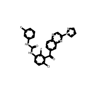 O=C(Nc1cccc(F)c1)Nc1ccc(Cl)c(C(=O)c2ccc3ncc(-n4cccn4)nc3c2)c1F